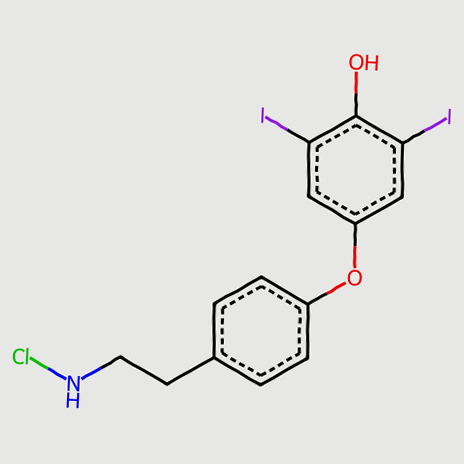 Oc1c(I)cc(Oc2ccc(CCNCl)cc2)cc1I